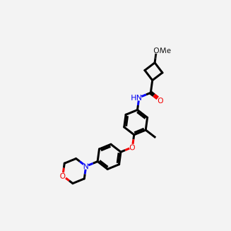 COC1CC(C(=O)Nc2ccc(Oc3ccc(N4CCOCC4)cc3)c(C)c2)C1